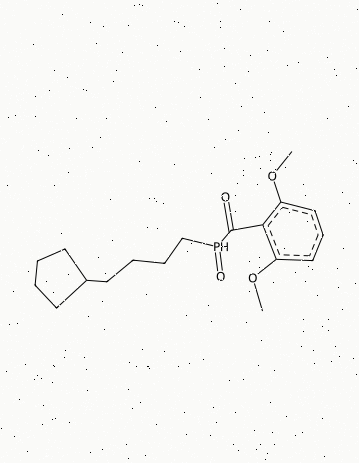 COc1cccc(OC)c1C(=O)[PH](=O)CCCCC1CCCC1